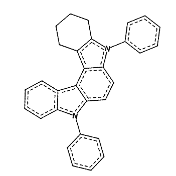 c1ccc(-n2c3c(c4c5c6ccccc6n(-c6ccccc6)c5ccc42)CCCC3)cc1